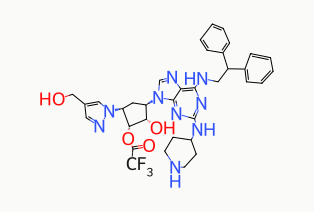 O=C(O[C@H]1[C@@H](O)[C@H](n2cnc3c(NCC(c4ccccc4)c4ccccc4)nc(NC4CCNCC4)nc32)C[C@@H]1n1cc(CO)cn1)C(F)(F)F